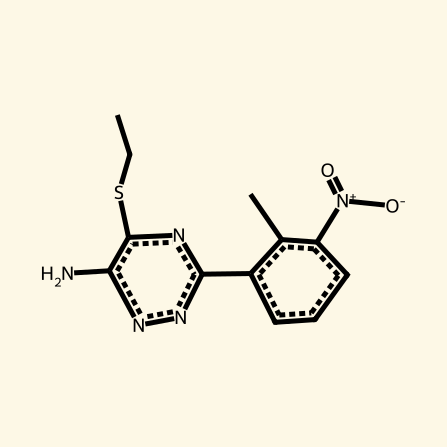 CCSc1nc(-c2cccc([N+](=O)[O-])c2C)nnc1N